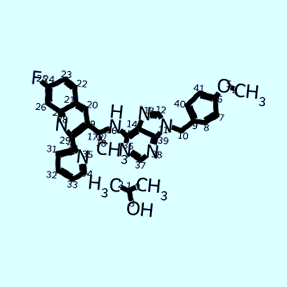 CC(C)O.COc1ccc(Cn2cnc3c(N[C@@H](C)c4cc5ccc(F)cc5nc4-c4ccccn4)ncnc32)cc1